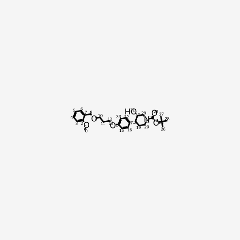 COc1ccccc1COCCCOc1ccc([C@H]2CCN(C(=O)OC(C)(C)C)C[C@@H]2O)cc1